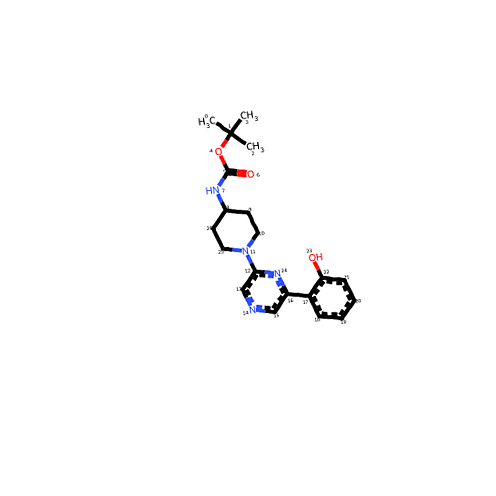 CC(C)(C)OC(=O)NC1CCN(c2cncc(-c3ccccc3O)n2)CC1